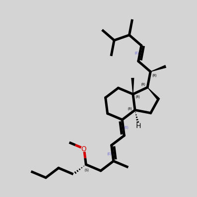 CCCC[C@@H](C/C(C)=C/C=C1\CCC[C@]2(C)[C@@H]([C@H](C)/C=C/C(C)C(C)C)CC[C@@H]12)OC